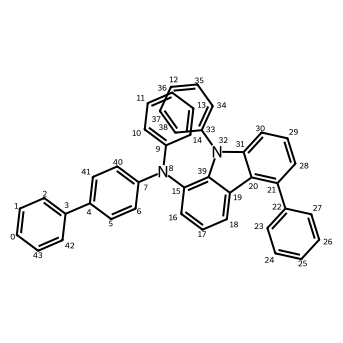 c1ccc(-c2ccc(N(c3ccccc3)c3cccc4c5c(-c6ccccc6)cccc5n(-c5ccccc5)c34)cc2)cc1